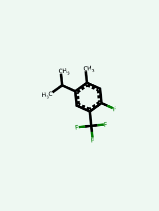 Cc1cc(F)c(C(F)(F)F)cc1C(C)C